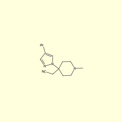 CC(C)c1cnn(C2(CC#N)CCN(C)CC2)c1